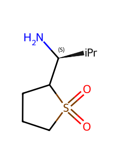 CC(C)[C@H](N)C1CCCS1(=O)=O